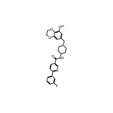 COc1cc(CN2CCC(NC(=O)c3ccc(-c4cccc(F)c4)nc3)CC2)cc2c1OCCO2